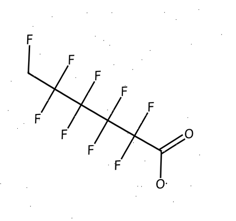 [O]C(=O)C(F)(F)C(F)(F)C(F)(F)C(F)(F)CF